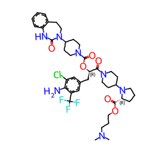 CN(C)CCCOC(=O)[C@H]1CCCN1C1CCN(C(=O)[C@@H](Cc2cc(Cl)c(N)c(C(F)(F)F)c2)OC(=O)N2CCC(N3CCc4ccccc4NC3=O)CC2)CC1